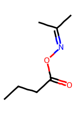 CCCC(=O)ON=C(C)C